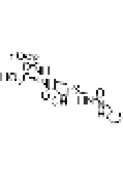 CCCCCCCCOC(=O)N[C@@H](CNC(=O)c1ccc(OCCNC(=O)NCc2ccccc2)cc1O)C(=O)O